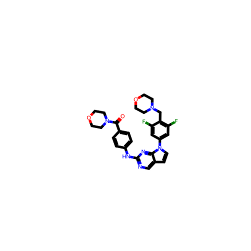 O=C(c1ccc(Nc2ncc3ccn(-c4cc(F)c(CN5CCOCC5)c(F)c4)c3n2)cc1)N1CCOCC1